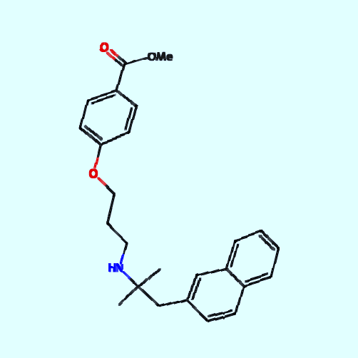 COC(=O)c1ccc(OCCCNC(C)(C)Cc2ccc3ccccc3c2)cc1